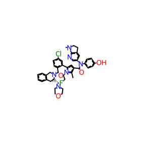 Cc1c(C(=O)N(c2ccc(O)cc2)c2cnc3c(c2)CCN3C)cc(-c2cc(Cl)ccc2C(=O)N2Cc3ccccc3C[C@H]2CN2CCOCC2)n1CCF